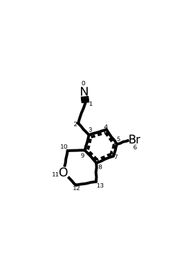 N#CCc1cc(Br)cc2c1COCC2